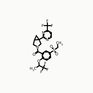 CCS(=O)(=O)c1ccc(OC(C)C(F)(F)F)c(C(=O)N2CC3CC3(c3nccc(C(F)(F)F)n3)C2)c1